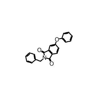 O=C1c2ccc(Oc3ccccc3)cc2C(=O)N1Cc1ccccc1